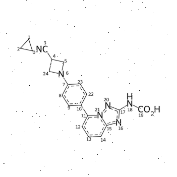 C1CC1.N#CC1CN(c2ccc(-c3cccc4nc(NC(=O)O)nn34)cc2)C1